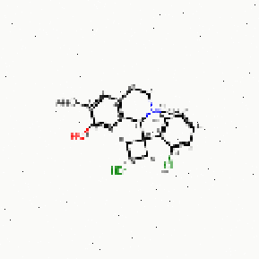 Br.COc1cc2c(cc1O)C(C1(c3ccccc3Cl)CCC1)N(C)CC2